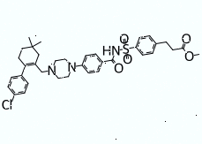 COC(=O)CCc1ccc(S(=O)(=O)NC(=O)c2ccc(N3CCN(CC4=C(c5ccc(Cl)cc5)CCC(C)(C)C4)CC3)cc2)cc1